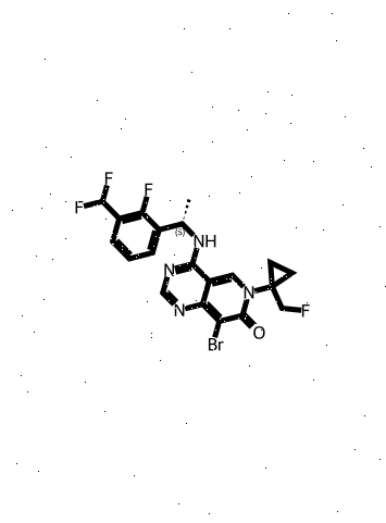 C[C@H](Nc1ncnc2c(Br)c(=O)n(C3(CF)CC3)cc12)c1cccc(C(F)F)c1F